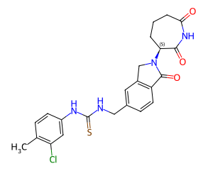 Cc1ccc(NC(=S)NCc2ccc3c(c2)CN([C@H]2CCCC(=O)NC2=O)C3=O)cc1Cl